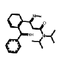 CC(C)N(C(=O)CC(=NI)C1=C(C(=N)c2ccccc2)C=CCC1)C(C)C